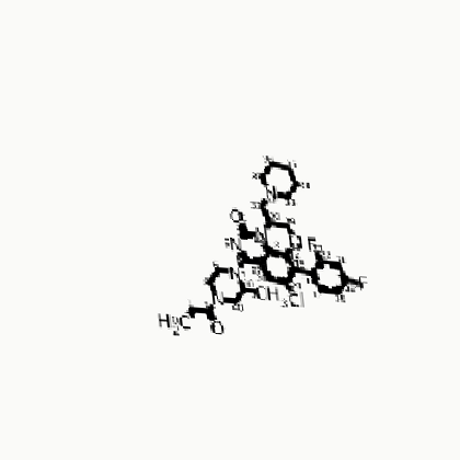 C=CC(=O)N1CCN(c2nc(=O)n3c4c(c(-c5ccc(F)cc5F)c(Cl)cc24)OCC3CN2CCCCC2)[C@@H](C)C1